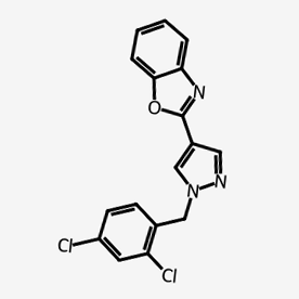 Clc1ccc(Cn2cc(-c3nc4ccccc4o3)cn2)c(Cl)c1